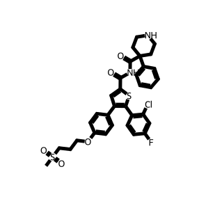 CS(=O)(=O)CCCOc1ccc(-c2cc(C(=O)NC(=O)C3(c4ccccc4)CCNCC3)sc2-c2ccc(F)cc2Cl)cc1